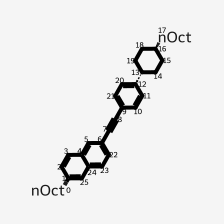 CCCCCCCCc1ccc2cc(C#Cc3ccc([C@H]4CC[C@H](CCCCCCCC)CC4)cc3)ccc2c1